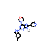 CCn1c(-c2ccncc2)nc2c(N3CCOCC3)nc(-n3ncc4cc(C)ccc43)nc21